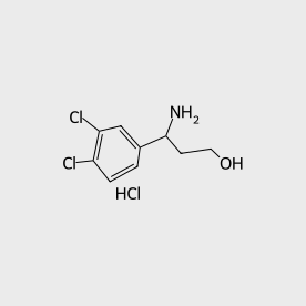 Cl.NC(CCO)c1ccc(Cl)c(Cl)c1